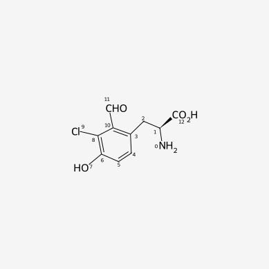 N[C@@H](Cc1ccc(O)c(Cl)c1C=O)C(=O)O